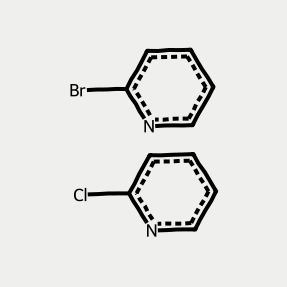 Brc1ccccn1.Clc1ccccn1